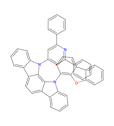 c1ccc(-c2cc(-n3c4ccccc4c4ccc5c6ccccc6n(-c6cccc7c6oc6ccccc67)c5c43)cc(-c3ccccc3)n2)cc1